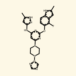 Cc1cc(Nc2cc(N3CCN(n4cncn4)CC3)nc(Oc3ccc4[nH]c(C)cc4c3F)n2)n[nH]1